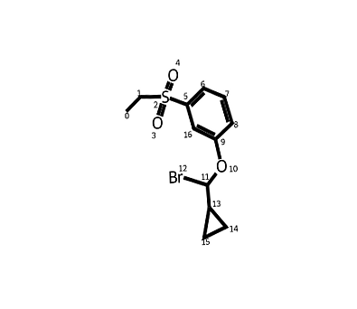 CCS(=O)(=O)c1cccc(OC(Br)C2CC2)c1